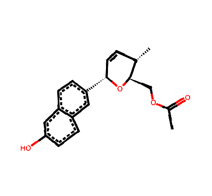 CC(=O)OC[C@H]1O[C@H](c2ccc3cc(O)ccc3c2)C=C[C@@H]1C